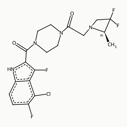 C[C@H]1N(CC(=O)N2CCN(C(=O)c3[nH]c4ccc(F)c(Cl)c4c3F)CC2)CC1(F)F